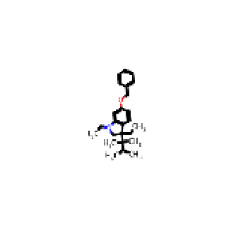 CCN1CC(CC)(C(C)(C)C(C)C)c2ccc(OCc3ccccc3)cc21